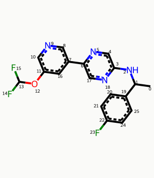 CC(Nc1cnc(-c2cncc(OC(F)F)c2)cn1)c1ccc(F)cc1